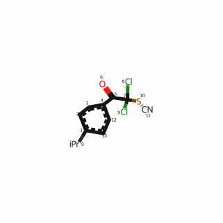 CC(C)c1ccc(C(=O)C(Cl)(Cl)SC#N)cc1